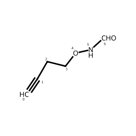 C#CCCONC=O